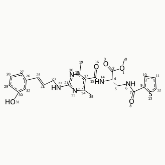 COC(=O)[C@H](CNC(=O)c1cccs1)NC(=O)c1c(C)nc(NCC=Cc2cccc(O)c2)nc1C